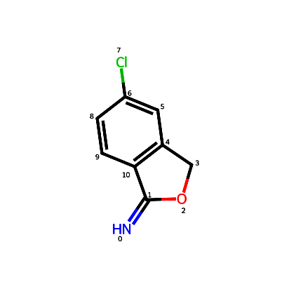 N=C1OCc2cc(Cl)ccc21